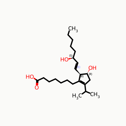 CCCCC[C@H](O)/C=C/[C@@H]1C(CCCCCCC(=O)O)=C(C(C)C)C[C@H]1O